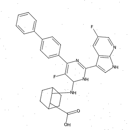 O=C(O)C1C2CCC(CC2)C1NC1NC(c2c[nH]c3ncc(F)cc23)=NC(c2ccc(-c3ccccc3)cc2)=C1F